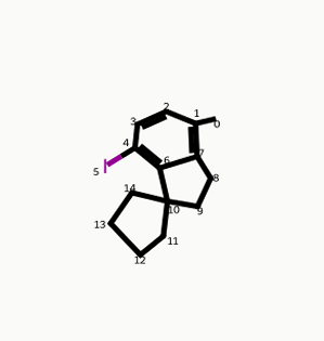 Cc1ccc(I)c2c1CCC21CCCC1